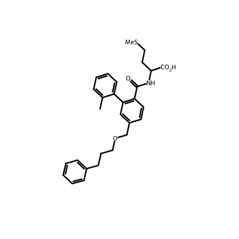 CSCCC(NC(=O)c1ccc(COCCCc2ccccc2)cc1-c1ccccc1C)C(=O)O